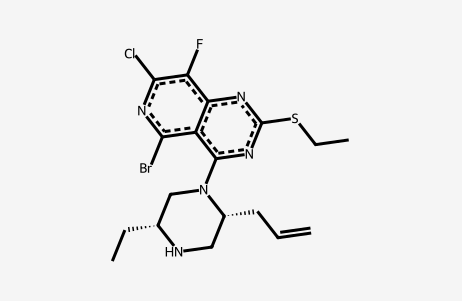 C=CC[C@@H]1CN[C@H](CC)CN1c1nc(SCC)nc2c(F)c(Cl)nc(Br)c12